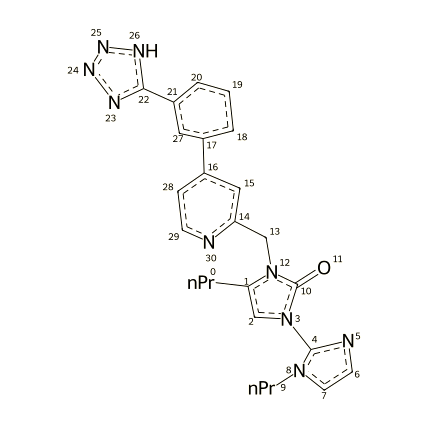 CCCc1cn(-c2nccn2CCC)c(=O)n1Cc1cc(-c2cccc(-c3nnn[nH]3)c2)ccn1